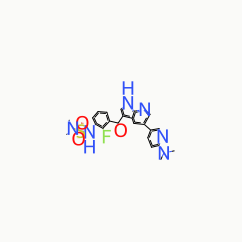 CN(C)c1ccc(-c2cnc3[nH]cc(C(=O)c4cccc(NS(=O)(=O)N(C)C)c4F)c3c2)cn1